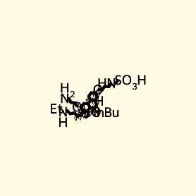 CCCCO[C@@H]1C[C@@H]2C[C@H](OCCCNCS(=O)(=O)O)CC[C@]2(C)C2C[C@H](OCCCN)[C@]3(C)[C@@H]([C@H](C)CCCNCC)CC[C@H]3C21